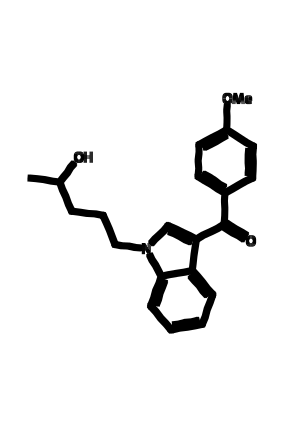 COc1ccc(C(=O)c2cn(CCCC(C)O)c3ccccc23)cc1